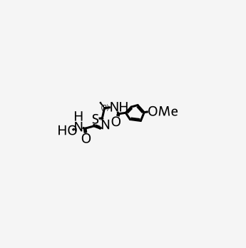 COc1ccc(C(=O)N[C@H](C)c2ncc(C(=O)NO)s2)cc1